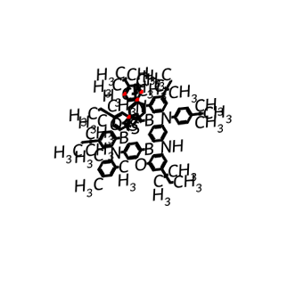 CCC(C)(C)c1cc2c3c(c1)Oc1cc4c(cc1B3c1cc3c(cc1N2)N(c1ccc(C(C)(C)C)cc1)c1cc(C(C)(C)CC)cc2c1B3c1sc3ccc(C(C)(C)CC)cc3c1N2c1ccc(C(C)(C)C)cc1)B1c2sc3ccc(C(C)(C)CC)cc3c2Oc2cc(C(C)(C)CC)cc(c21)N4c1c(C)cc(C)cc1C